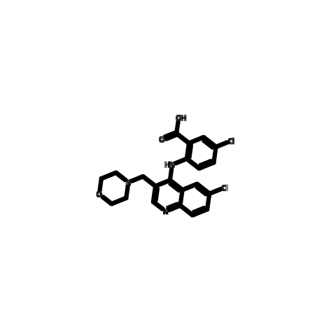 O=C(O)c1cc(Cl)ccc1Nc1c(CN2CCOCC2)cnc2ccc(Cl)cc12